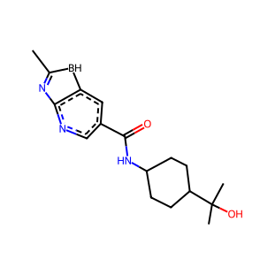 CC1=Nc2ncc(C(=O)NC3CCC(C(C)(C)O)CC3)cc2B1